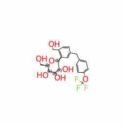 OCc1ccc(Cc2ccc(OC(F)(F)F)cc2)cc1[C@@H]1O[C@H](CO)[C@@H](O)[C@H](O)[C@H]1O